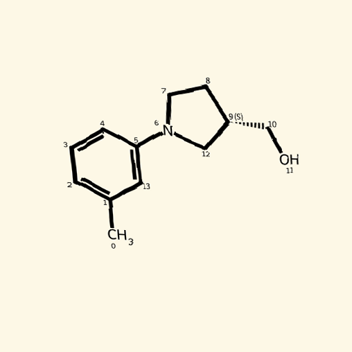 Cc1cc[c]c(N2CC[C@H](CO)C2)c1